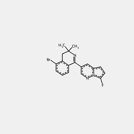 CC1(C)Cc2c(Br)cccc2C(c2cnn3c(F)ccc3c2)=N1